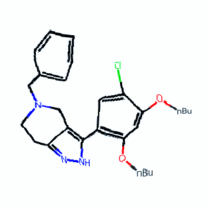 CCCCOc1cc(OCCCC)c(-c2[nH]nc3c2CN(Cc2ccccc2)CC3)cc1Cl